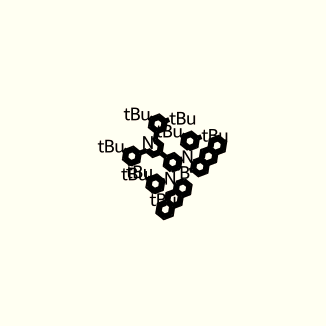 CC(C)(C)c1cc(-c2cc(-c3cc4c5c(c3)N(c3cc(C(C)(C)C)cc(C(C)(C)C)c3)c3c(ccc6cc7ccccc7cc36)B5c3ccc5cc6ccccc6cc5c3N4c3cc(C(C)(C)C)cc(C(C)(C)C)c3)cc(-c3cc(C(C)(C)C)cc(C(C)(C)C)c3)n2)cc(C(C)(C)C)c1